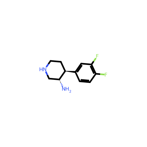 N[C@@H]1CNCC[C@H]1c1ccc(F)c(F)c1